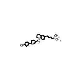 CN(C)CCC=Cc1ccc2c(c1)CCCN2C(=O)c1ccc(-c2ccc(Cl)cc2)nc1